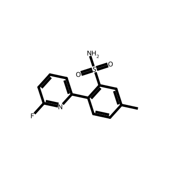 Cc1ccc(-c2cccc(F)n2)c(S(N)(=O)=O)c1